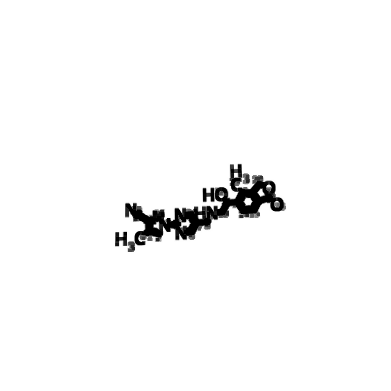 Cc1cn(-c2ncc(CNCC(O)c3ccc4c(c3C)COC4=O)cn2)nc1C#N